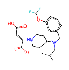 CC(C)CN(Cc1cccc(OC(F)F)c1)C1CCNCC1.O=C(O)C=CC(=O)O